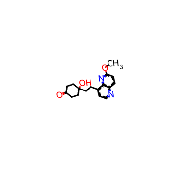 COc1ccc2nccc(CCC3(O)CCC(=O)CC3)c2n1